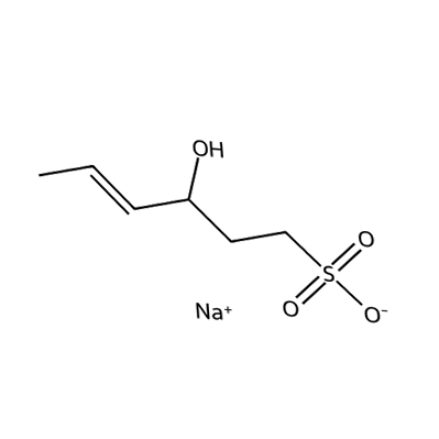 CC=CC(O)CCS(=O)(=O)[O-].[Na+]